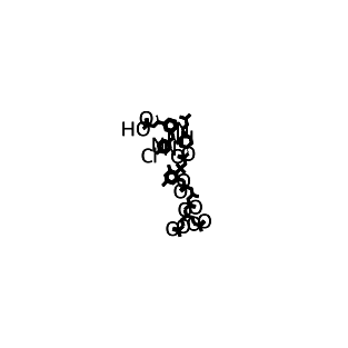 CC(=O)OCC(COC(C)=O)OC(=O)CC(C)CC(=O)Oc1cc(C)cc(C)c1C(C)(C)CC(=O)O[C@H]1CC[C@H](N(CC(C)C)c2ccc([C@H](C)CC(=O)O)cc2Nc2cnc(Cl)cn2)CC1